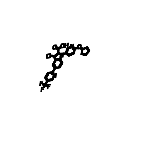 O=C(O)c1c(Cl)c2cc(-c3ccc(C(F)(F)F)cn3)ccc2n1-c1ccc(OC2CCCC2)nc1